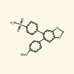 COc1ccc(-c2cc3c(cc2-c2ccc(S(N)(=O)=O)cc2)OCO3)cc1